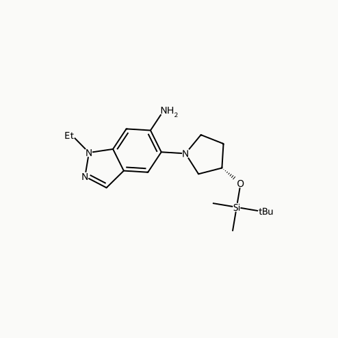 CCn1ncc2cc(N3CC[C@H](O[Si](C)(C)C(C)(C)C)C3)c(N)cc21